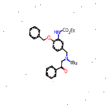 CCOC(=O)Nc1cc(CN(CC(=O)c2ccccc2)C(C)(C)C)ccc1OCc1ccccc1